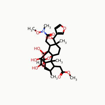 COC(=O)CC1C2(C)CC34OC5(C)OC6(C(CC(=O)N(C)OC)C(C)(C(O)c7ccoc7)CCC6(O5)C13C)C(O)C4(O)C2O